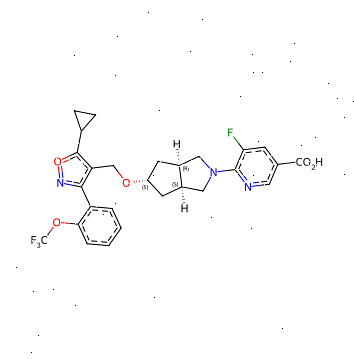 O=C(O)c1cnc(N2C[C@H]3C[C@H](OCc4c(-c5ccccc5OC(F)(F)F)noc4C4CC4)C[C@H]3C2)c(F)c1